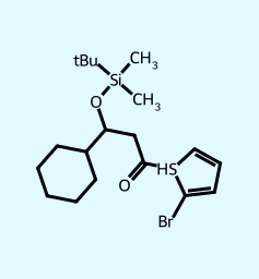 CC(C)(C)[Si](C)(C)OC(CC(=O)[SH]1C=CC=C1Br)C1CCCCC1